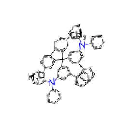 Cc1ccc2c(c1)C(c1cc(-c3ccccc3)cc(N(c3ccccc3)c3ccccc3)c1)(c1cc(-c3ccccc3)cc(N(c3ccccc3)c3ccccc3)c1)c1cc(C)ccc1-2